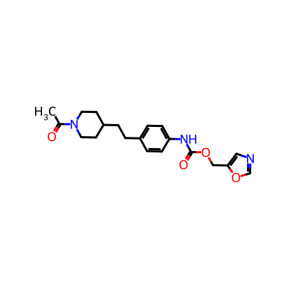 CC(=O)N1CCC(CCc2ccc(NC(=O)OCc3cnco3)cc2)CC1